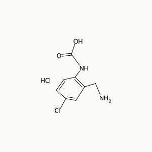 Cl.NCc1cc(Cl)ccc1NC(=O)O